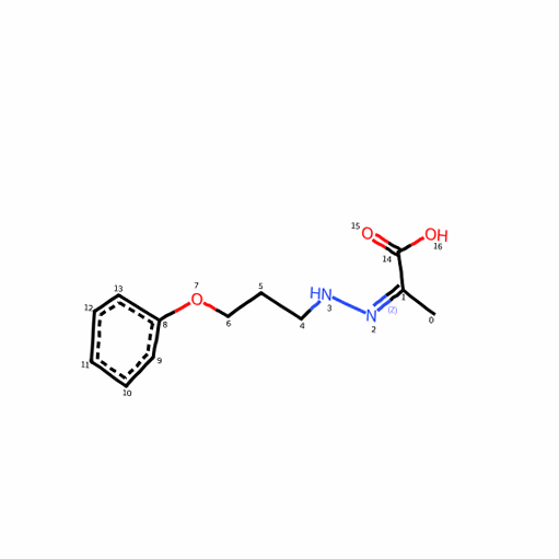 C/C(=N/NCCCOc1ccccc1)C(=O)O